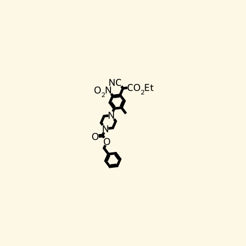 CCOC(=O)C(C#N)c1cc(C)c(N2CCN(C(=O)OCc3ccccc3)CC2)cc1[N+](=O)[O-]